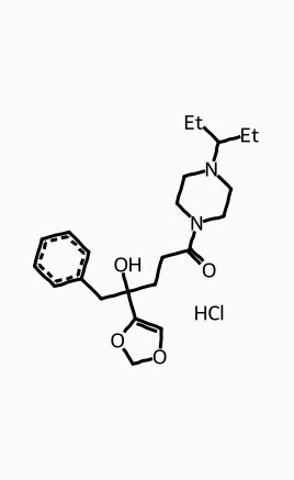 CCC(CC)N1CCN(C(=O)CCC(O)(Cc2ccccc2)C2=COCO2)CC1.Cl